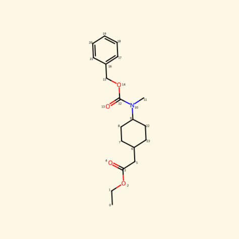 CCOC(=O)CC1CCC(N(C)C(=O)OCc2ccccc2)CC1